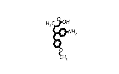 CCOc1ccc(C=C(CC(C)CC(=O)O)c2ccc(N)cc2)cc1